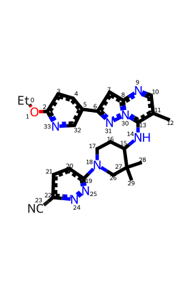 CCOc1ccc(-c2cc3ncc(C)c(NC4CCN(c5ccc(C#N)nn5)CC4(C)C)n3n2)cn1